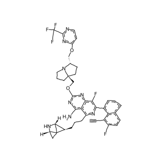 C#Cc1c(F)ccc2cccc(-c3nc(CCC[C@@H]4[C@H]5N[C@H]6CC645)c4c(N)nc(OC[C@@]56CCCN5[C@H](COc5ccnc(C(F)(F)F)n5)CC6)nc4c3F)c12